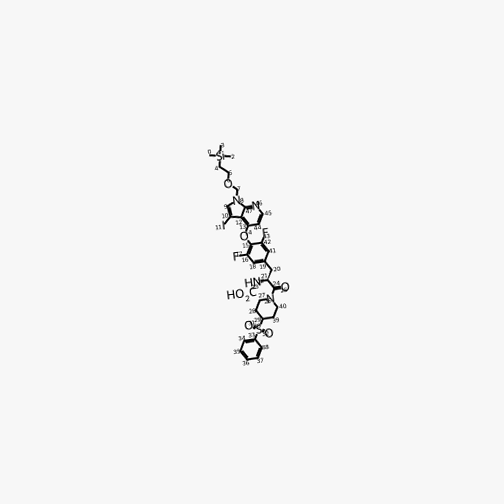 C[Si](C)(C)CCOCn1cc(I)c2c(Oc3c(F)cc(C[C@H](NC(=O)O)C(=O)N4CCC(S(=O)(=O)c5ccccc5)CC4)cc3F)ccnc21